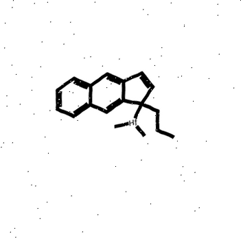 CCC[C]1([Hf]([CH3])[CH3])C=Cc2cc3ccccc3cc21